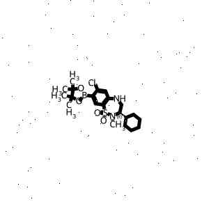 CN1[C@H](C2CCCCC2)CNc2cc(Cl)c(B3OC(C)(C)C(C)(C)O3)cc2S1(=O)=O